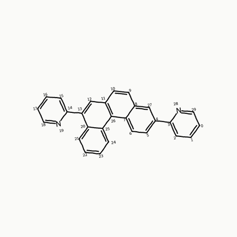 c1ccc(-c2ccc3c(ccc4cc(-c5ccccn5)c5ccccc5c43)c2)nc1